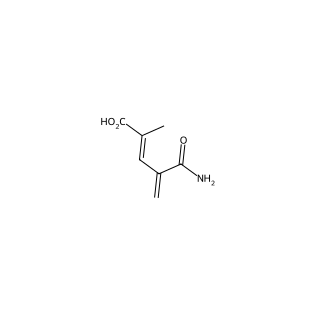 C=C(/C=C(\C)C(=O)O)C(N)=O